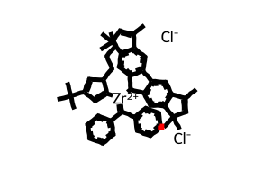 CCCCC1C=C(C(C)(C)C)C=[C]1[Zr+2](=[C](c1ccccc1)c1ccccc1)[CH]1c2cc3c(cc2-c2cc4c(cc21)C(C)(C)C=C4C)C(C)=CC3(C)C.[Cl-].[Cl-]